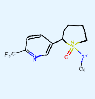 N#CN[SH]1(=O)CCCC1c1ccc(C(F)(F)F)nc1